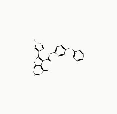 Cn1cc(-c2sc3ncnc(N)c3c2C(=O)Nc2ccc(Oc3ccccc3)cc2)cn1